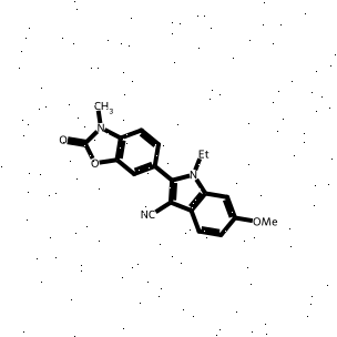 CCn1c(-c2ccc3c(c2)oc(=O)n3C)c(C#N)c2ccc(OC)cc21